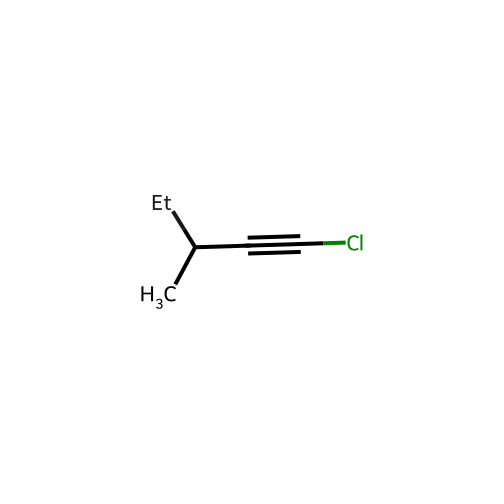 [CH2]CC(C)C#CCl